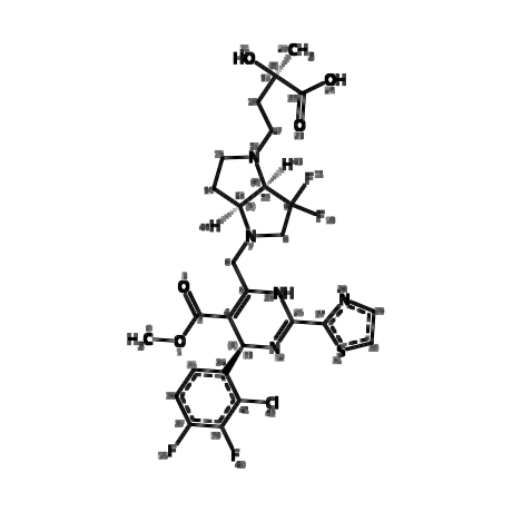 COC(=O)C1=C(CN2CC(F)(F)[C@H]3[C@@H]2CCN3CC[C@@](C)(O)C(=O)O)NC(c2nccs2)=N[C@H]1c1ccc(F)c(F)c1Cl